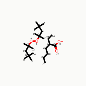 CC(C)(C)CC(C)(C)OOC(C)(C)CC(C)(C)C.CCCCC(CC)C(=O)O